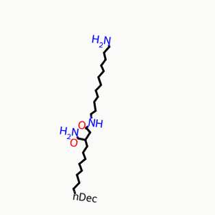 CCCCCCCCCCCCCCCCCCC(CC(=O)NCCCCCCCCCCCCN)C(N)=O